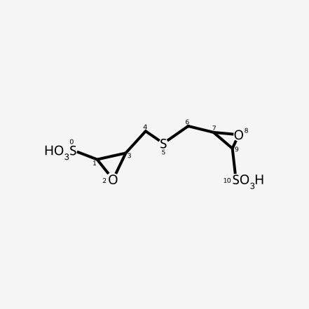 O=S(=O)(O)C1OC1CSCC1OC1S(=O)(=O)O